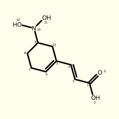 O=C(O)/C=C/C1=CCCC(N(O)O)C1